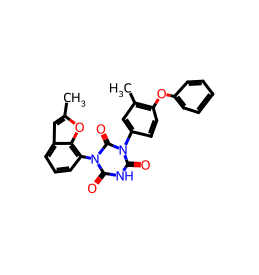 Cc1cc2cccc(-n3c(=O)[nH]c(=O)n(-c4ccc(Oc5ccccc5)c(C)c4)c3=O)c2o1